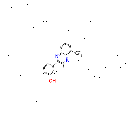 Cc1nc2c(C(F)(F)F)cccc2nc1-c1cccc(O)c1